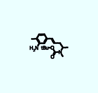 Cc1ccc(C=CCC(C)N(C)C(=O)OC(C)(C)C)cc1N